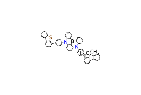 CC1(C)c2ccccc2-c2cccc(-c3ccc(N4c5ccccc5B5c6ccccc6N(c6ccc(-c7cccc8c7sc7ccccc78)cc6)c6cccc4c65)cc3)c21